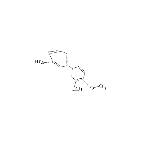 O=C(O)c1cc(-c2cccc(O)c2)ccc1OC(F)(F)F